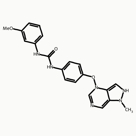 COc1cccc(NC(=O)Nc2ccc(ON3C=NC=C4C3=CNN4C)cc2)c1